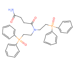 NC(=O)CCC(=O)N(CCP(=O)(c1ccccc1)c1ccccc1)CCP(=O)(c1ccccc1)c1ccccc1